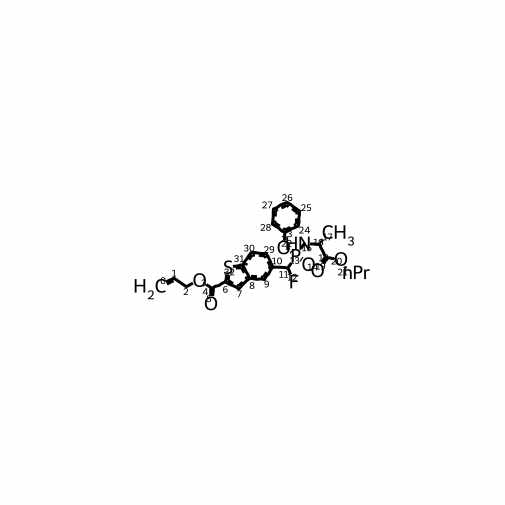 C=CCOC(=O)c1cc2cc(C(F)P(=O)(N[C@@H](C)C(=O)OCCC)Oc3ccccc3)ccc2s1